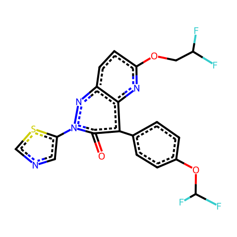 O=c1c(-c2ccc(OC(F)F)cc2)c2nc(OCC(F)F)ccc2nn1-c1cncs1